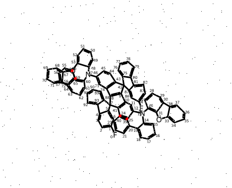 Fc1ccc2c(c1)C1(C3=C(c4cc(N(c5ccccc5-c5ccccc5)c5cccc6c5oc5ccccc56)ccc41)C1(c4ccc(N(c5ccccc5-c5ccccc5)c5cccc6c5oc5ccccc56)cc43)c3ccccc3-c3ccc(F)cc31)c1ccccc1-2